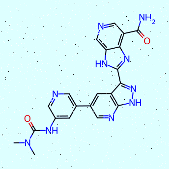 CN(C)C(=O)Nc1cncc(-c2cnc3[nH]nc(-c4nc5c(C(N)=O)cncc5[nH]4)c3c2)c1